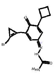 CNC(=O)N/N=C1\C=C(C2=C(Br)C2)C(=O)C(C2CCC2)=C1